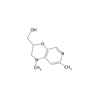 Cc1cc2c(cn1)OC(CO)CN2C